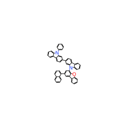 c1ccc(-n2c3ccccc3c3ccc(-c4ccc5c6ccccc6n(-c6cc(-c7cccc8ccccc78)cc7c6oc6ccccc67)c5c4)cc32)cc1